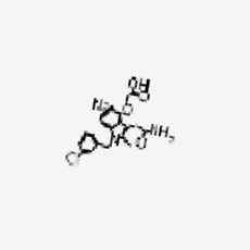 Cc1c(CC(N)=O)c2c(OCC(=O)O)cccc2n1Cc1cccc(Cl)c1.[Na]